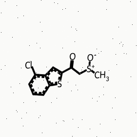 C[S+]([O-])CC(=O)c1cc2c(Cl)cccc2s1